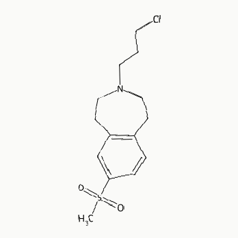 CS(=O)(=O)c1ccc2c(c1)CCN(CCCCl)CC2